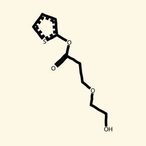 O=C(CCOCCO)Oc1cccs1